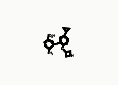 Cc1ccc(S(=O)(=O)O)cc1.N#Cc1cc(C2CC2)ccc1OC1CNC1